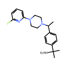 CC(=O)NC(C)(C)c1ccc(C(C)N2CCN(c3cccc(F)n3)CC2)cc1